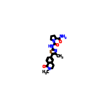 Cc1nc(NC(=O)N2CCCC2C(N)=O)sc1-c1ccc2c(c1)CCN(C)C2=O